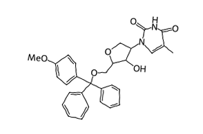 COc1ccc(C(OCC2OCC(n3cc(C)c(=O)[nH]c3=O)C2O)(c2ccccc2)c2ccccc2)cc1